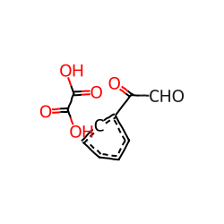 O=C(O)C(=O)O.O=CC(=O)c1ccccc1